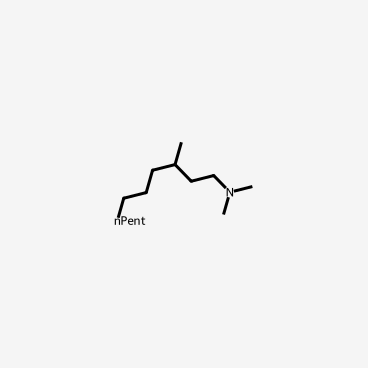 CCCCCCCCC(C)CCN(C)C